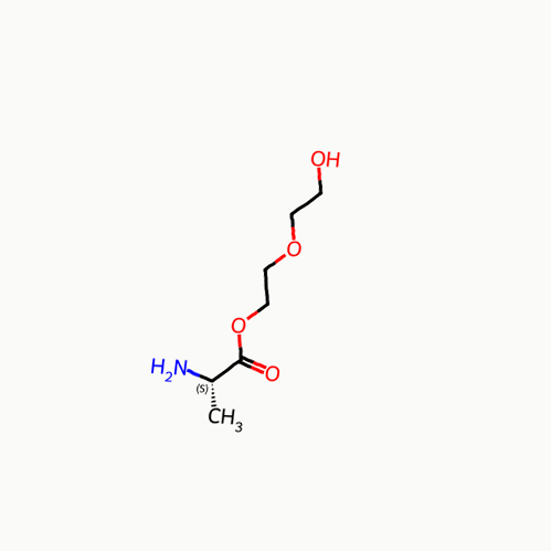 C[C@H](N)C(=O)OCCOCCO